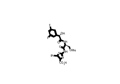 COC[C@H](NC(=O)[C@@H](O)c1cc(F)cc(F)c1)C(=O)Nc1nc(C(=O)O)c(C(C)C)s1